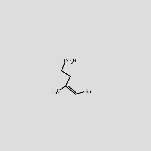 CCC(C)C=C(C)CCC(=O)O